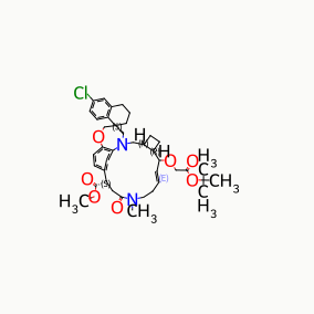 COC(=O)[C@H]1CC(=O)N(C)CC/C=C/C(OCC(=O)OC(C)(C)C)[C@@H]2CC[C@H]2CN2C[C@@]3(CCCc4cc(Cl)ccc43)COc3ccc1cc32